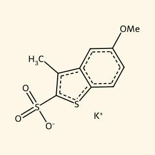 COc1ccc2sc(S(=O)(=O)[O-])c(C)c2c1.[K+]